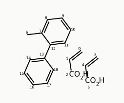 C=CC(=O)O.C=CC(=O)O.Cc1ccccc1-c1ccccc1